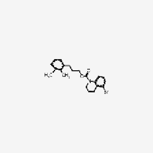 Cc1cccc(CCCOC(=O)N2CCCc3c(Br)cccc32)c1C